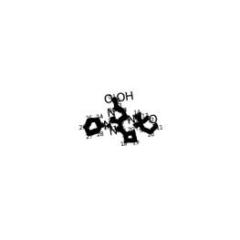 O=C(O)c1cc(N2CC3(CCCOC3)C2)c2c(C3CCC3)nn(-c3ccccc3)c2n1